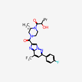 CC(C)C(O)C(=O)N1CCN(C(=O)c2cn3nc(-c4ccc(F)cc4)cc(C(F)(F)F)c3n2)C[C@@H]1C